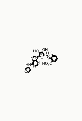 Cc1cccc(C(=O)O)c1SC[C@H]1O[C@@H](n2cnc3c(N[C@@H]4CCOC4)ncnc32)[C@H](O)[C@@H]1O